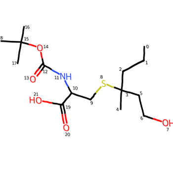 CCCC(C)(CCO)SCC(NC(=O)OC(C)(C)C)C(=O)O